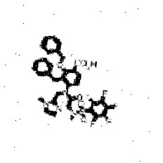 CN(CC(=O)N(Cc1nccn1C)c1ccc(C(=O)O)c(OCc2ccccc2)c1Cc1ccccc1)S(=O)(=O)c1c(F)c(F)c(F)c(F)c1F